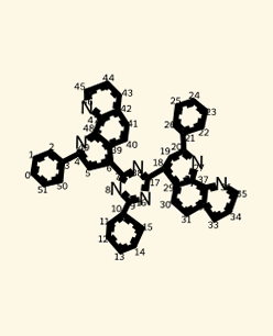 c1ccc(-c2cc(-c3nc(-c4ccccc4)nc(-c4cc(-c5ccccc5)nc5c4ccc4cccnc45)n3)c3ccc4cccnc4c3n2)cc1